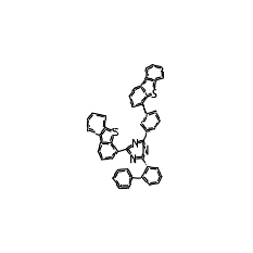 c1ccc(-c2ccccc2-c2nc(-c3cccc(-c4cccc5c4sc4ccccc45)c3)nc(-c3cccc4c3sc3ccccc34)n2)cc1